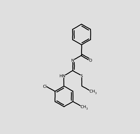 CCSC(=NC(=O)c1ccccc1)Nc1cc(C)ccc1Cl